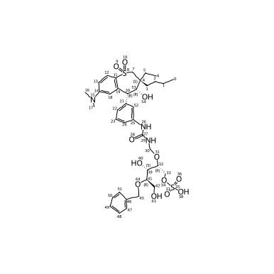 CCCC[C@]1(CC)CS(=O)(=O)c2ccc(N(C)C)cc2[C@@H](c2cccc(NC(=O)NCO[C@H](COS(=O)(=O)O)[C@@H](O)[C@@H](CO)OCc3ccccc3)c2)[C@H]1O